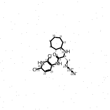 [N-]=[N+]=NC[C@@H](NC1CCCCCC1)C(=O)NC1=C(Cl)NC(Cl)C=C1